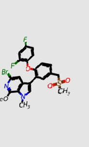 COc1nc(Br)cc2c(-c3cc(CS(C)(=O)=O)ccc3Oc3ccc(F)cc3F)cn(C)c12